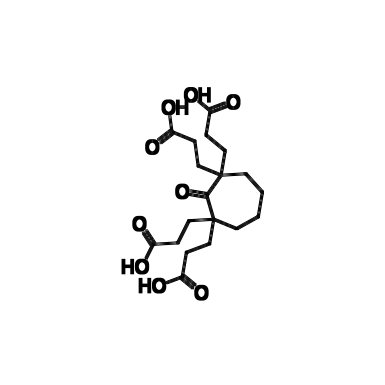 O=C(O)CCC1(CCC(=O)O)CCCCC(CCC(=O)O)(CCC(=O)O)C1=O